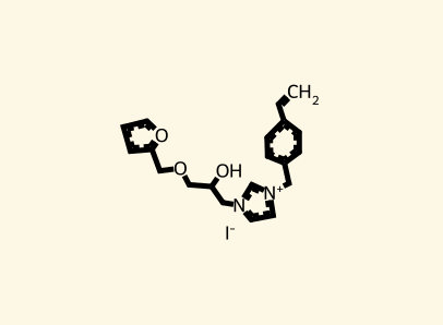 C=Cc1ccc(C[n+]2ccn(CC(O)COCc3ccco3)c2)cc1.[I-]